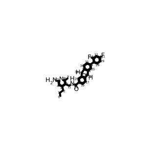 CCCc1cc(N)nc(C)c1CNC(=O)c1ccc2c(c1)[C@@H]1O[C@H]2c2cc(-c3ccc(F)cc3F)ccc21